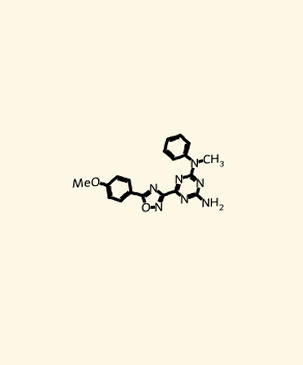 COc1ccc(-c2nc(-c3nc(N)nc(N(C)c4ccccc4)n3)no2)cc1